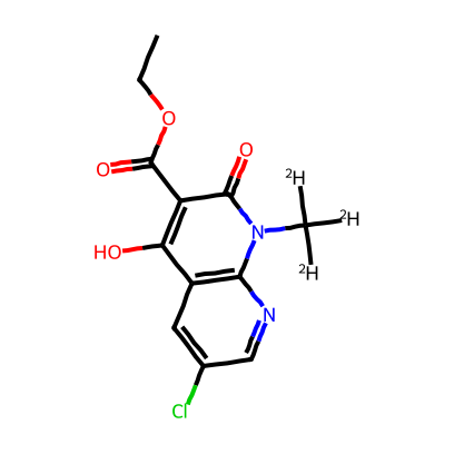 [2H]C([2H])([2H])n1c(=O)c(C(=O)OCC)c(O)c2cc(Cl)cnc21